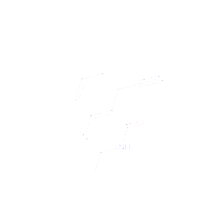 Cc1nc2cc(Br)c(F)c(C#N)c2c(=O)[nH]1